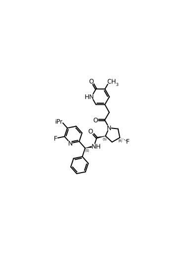 Cc1cc(CC(=O)N2C[C@H](F)C[C@H]2C(=O)N[C@@H](c2ccccc2)c2ccc(C(C)C)c(F)n2)c[nH]c1=O